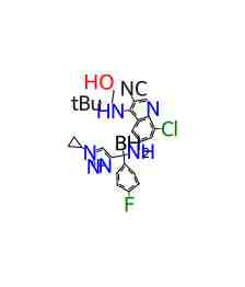 BC(Nc1cc(Cl)c2ncc(C#N)c(N[C@@H](CO)C(C)(C)C)c2c1)(c1ccc(F)cc1)c1cn(C2CC2)nn1